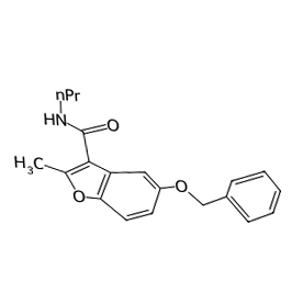 CCCNC(=O)c1c(C)oc2ccc(OCc3ccccc3)cc12